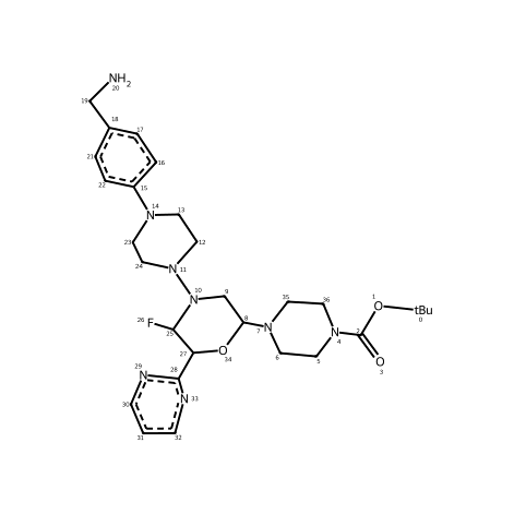 CC(C)(C)OC(=O)N1CCN(C2CN(N3CCN(c4ccc(CN)cc4)CC3)C(F)C(c3ncccn3)O2)CC1